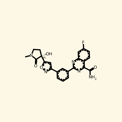 CN1CC[C@@](O)(c2cc(-c3cccc(-c4nc(C(N)=O)c5ccc(F)cc5n4)c3)no2)C1=O